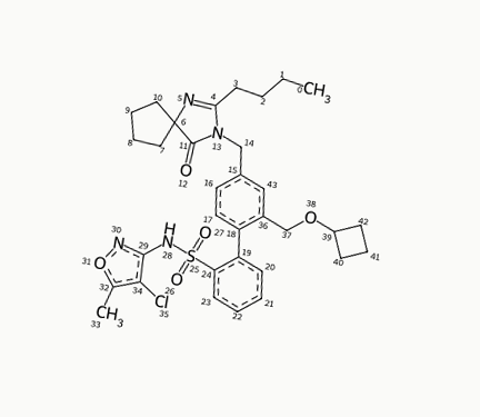 CCCCC1=NC2(CCCC2)C(=O)N1Cc1ccc(-c2ccccc2S(=O)(=O)Nc2noc(C)c2Cl)c(COC2CCC2)c1